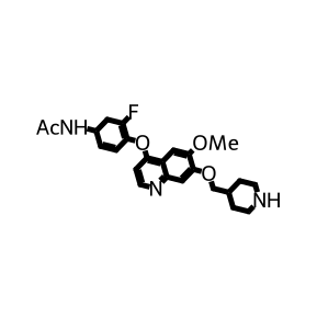 COc1cc2c(OC3=C(F)CC(NC(C)=O)C=C3)ccnc2cc1OCC1CCNCC1